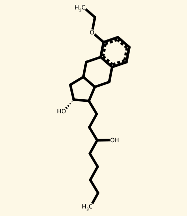 CCCCCC(O)CCC1C2Cc3cccc(OCC)c3CC2C[C@H]1O